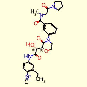 [C-]#[N+]c1ccc(NC(=O)[C@H](O)[C@H]2OCCN(c3cccc(C(=O)N(C)CC(=O)N4CCCC4)c3)C2=O)cc1CC